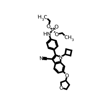 CCOP(=O)(Nc1ccc(-c2c(C#N)c3ccc(OC4CCOC4)cc3n2C2CCC2)cc1)OCC